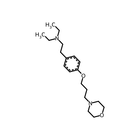 CCN(CC)CCc1ccc(OCCCN2CCOCC2)cc1